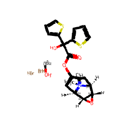 Br.Br.CCCCO.C[N+]1(C)[C@@H]2CC(OC(=O)C(O)(c3cccs3)c3cccs3)C[C@H]1[C@@H]1O[C@@H]12